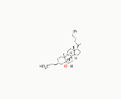 CC(C)CCCC(C)[C@H]1CC[C@H]2[C@@H]3C[C@H]4OC45C[C@@H](CCC(=O)O)CC[C@]5(C)[C@H]3CC[C@]12C